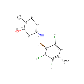 COC1=C(F)C(F)[C@@H](SNC2=CCC(C(F)(F)F)C(O)C2)C(F)=C1